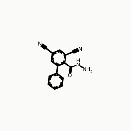 N#Cc1cc(C#N)c(C(=O)NN)c(-c2ccccc2)c1